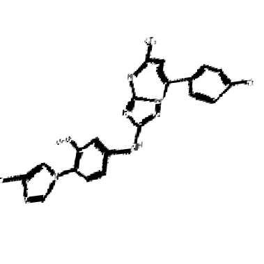 COc1cc(Nc2nc3nc(C(F)(F)F)cc(-c4ccc(Cl)cc4)n3n2)ccc1-n1cnc(C)c1